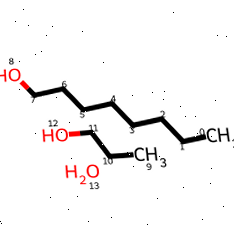 CCCCCCCCO.CCCO.O